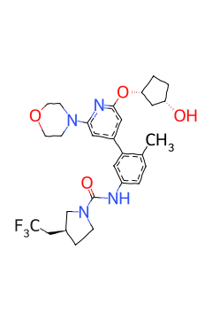 Cc1ccc(NC(=O)N2CC[C@@H](CC(F)(F)F)C2)cc1-c1cc(O[C@@H]2CC[C@H](O)C2)nc(N2CCOCC2)c1